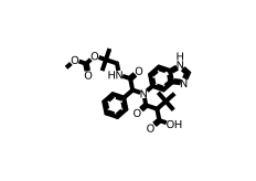 COC(=O)OC(C)(C)CNC(=O)C(c1ccccc1)N(C(=O)C(C(=O)O)C(C)(C)C)c1ccc2[nH]cnc2c1